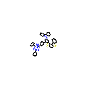 c1ccc(-c2nc(-c3ccccc3)nc(-c3ccc(-c4cc(-n5c6ccccc6c6ccccc65)cc5c4sc4ccc6sc7ccccc7c6c45)cc3)n2)cc1